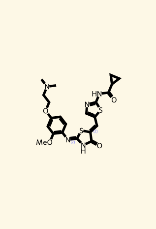 COc1cc(OCCN(C)C)ccc1/N=C1/NC(=O)/C(=C/c2cnc(NC(=O)C3CC3)s2)S1